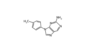 Cc1ccc(-n2cnc3cnc(N)nc32)cc1